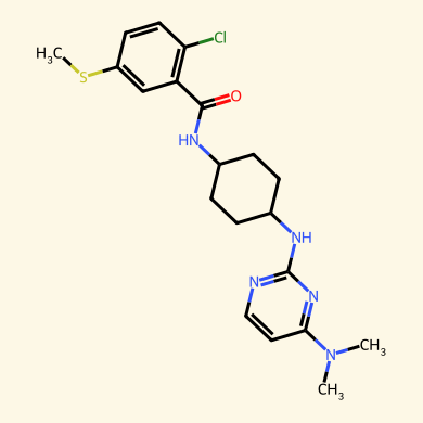 CSc1ccc(Cl)c(C(=O)NC2CCC(Nc3nccc(N(C)C)n3)CC2)c1